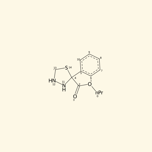 CCCOC(=O)C1(c2ccccc2)NN[CH]S1